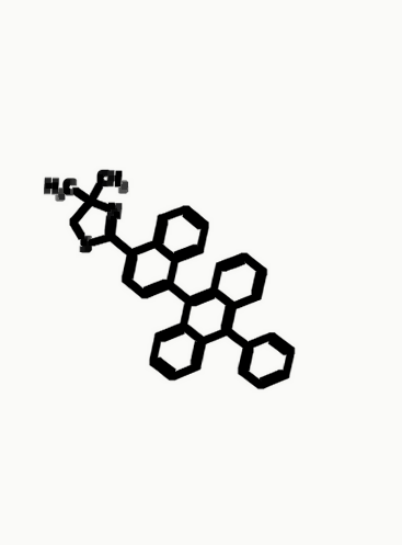 CC1(C)CSC(c2ccc(-c3c4ccccc4c(-c4ccccc4)c4ccccc34)c3ccccc23)=N1